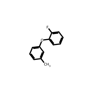 Cc1[c]ccc(Oc2ccccc2F)c1